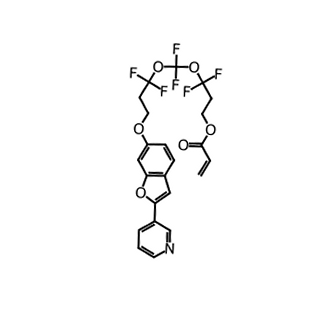 C=CC(=O)OCCC(F)(F)OC(F)(F)OC(F)(F)CCOc1ccc2cc(-c3cccnc3)oc2c1